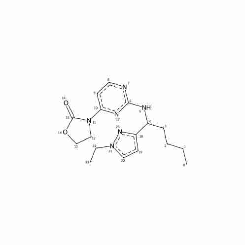 CCCCC(Nc1nccc(N2CCOC2=O)n1)c1ccn(CC)n1